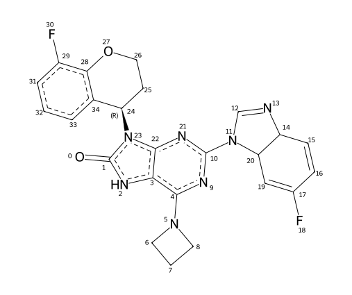 O=c1[nH]c2c(N3CCC3)nc(N3C=NC4C=CC(F)=CC43)nc2n1[C@@H]1CCOc2c(F)cccc21